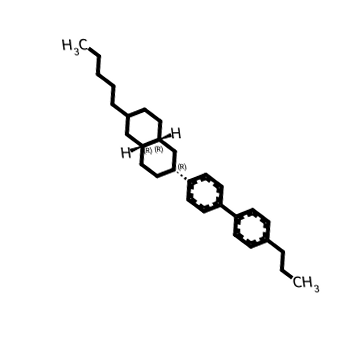 CCCCCC1CC[C@@H]2C[C@H](c3ccc(-c4ccc(CCC)cc4)cc3)CC[C@@H]2C1